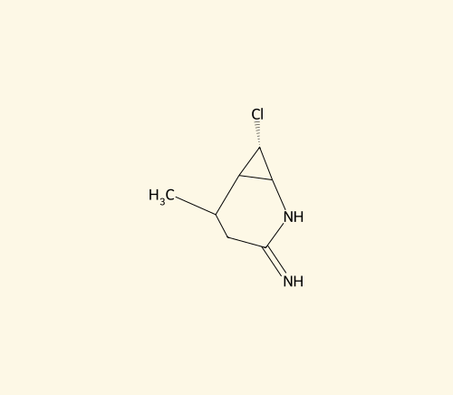 CC1CC(=N)NC2C1[C@@H]2Cl